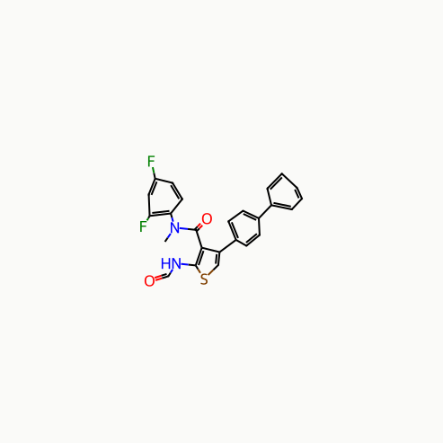 CN(C(=O)c1c(-c2ccc(-c3ccccc3)cc2)csc1NC=O)c1ccc(F)cc1F